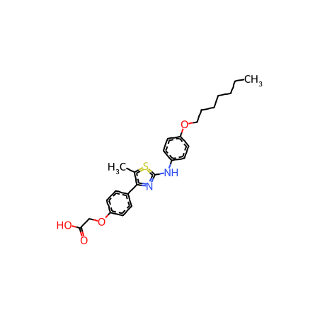 CCCCCCCOc1ccc(Nc2nc(-c3ccc(OCC(=O)O)cc3)c(C)s2)cc1